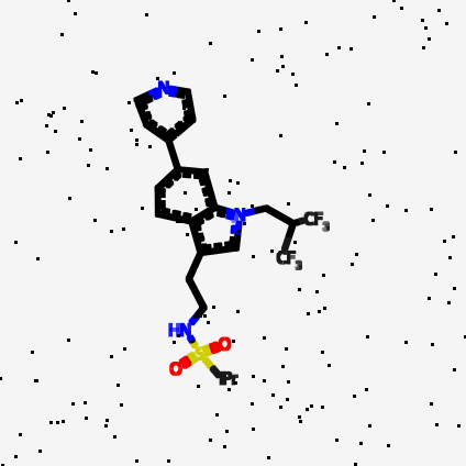 CC(C)S(=O)(=O)NCCc1cn(CC(C(F)(F)F)C(F)(F)F)c2cc(-c3ccncc3)ccc12